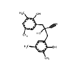 Cc1cc(C)c(O)c(CC(O)(C#N)Cc2cc(C)cc(C)c2O)c1